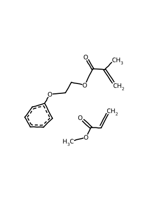 C=C(C)C(=O)OCCOc1ccccc1.C=CC(=O)OC